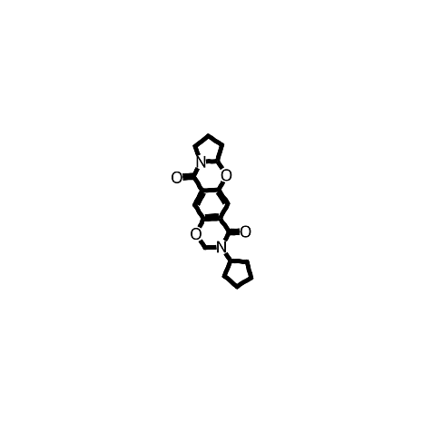 O=C1c2cc3c(cc2OCN1C1CCCC1)C(=O)N1CCCC1O3